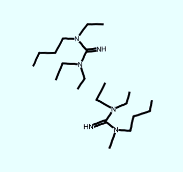 CCCCN(C)C(=N)N(CC)CC.CCCCN(CC)C(=N)N(CC)CC